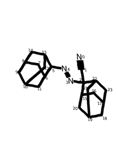 N#CC1(N=NC2C3CC4CC(C3)CC2C4)C2CC3CC(C2)CC1C3